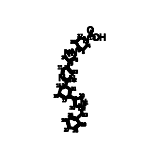 O=C(O)N1CCC(n2cc(-c3cnc(-c4cccc(-c5cnn(Cc6ccccc6)c5)c4)nc3)cn2)CC1